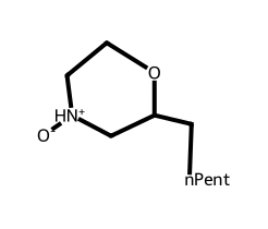 CCCCCCC1C[NH+]([O-])CCO1